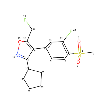 CS(=O)(=O)c1ccc(-c2c(C3CCCC3)noc2CF)cc1F